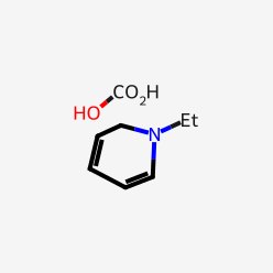 CCN1C=CC=CC1.O=C(O)O